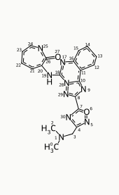 CN(C)Cc1noc(-c2nc3c4ccccc4nc(Nc4ccccnc4=O)n3n2)n1